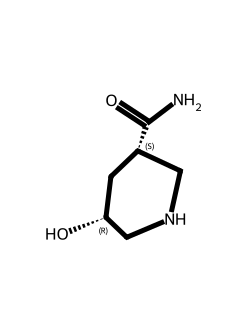 NC(=O)[C@@H]1CNC[C@H](O)C1